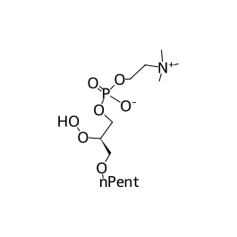 CCCCCOC[C@H](COP(=O)([O-])OCC[N+](C)(C)C)OO